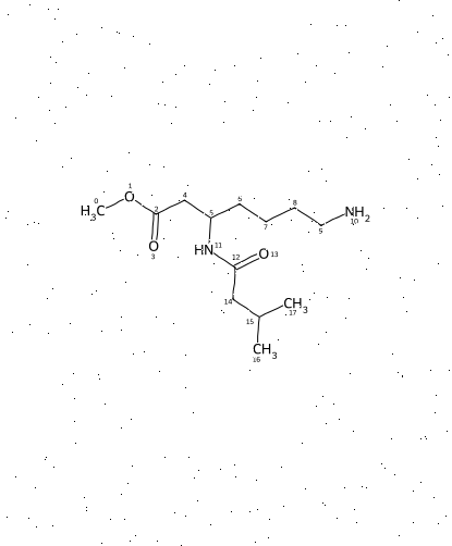 COC(=O)CC(CCCCN)NC(=O)CC(C)C